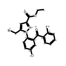 CCOC(=O)c1cc(CBr)n(-c2ccc(Cl)cc2C(=O)c2ccccc2F)n1